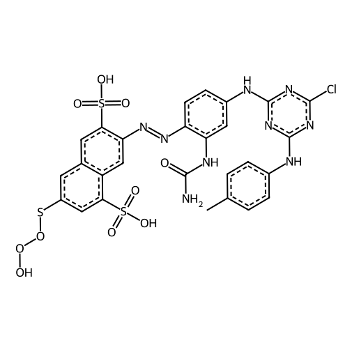 Cc1ccc(Nc2nc(Cl)nc(Nc3ccc(N=Nc4cc5c(S(=O)(=O)O)cc(SOOO)cc5cc4S(=O)(=O)O)c(NC(N)=O)c3)n2)cc1